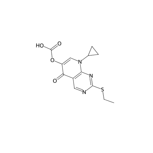 CCSc1ncc2c(=O)c(OC(=O)O)cn(C3CC3)c2n1